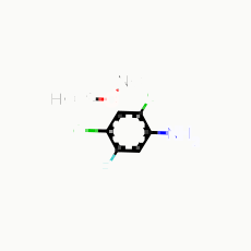 Nc1cc(F)c(Cl)cc1Cl.O=NOS(=O)(=O)O